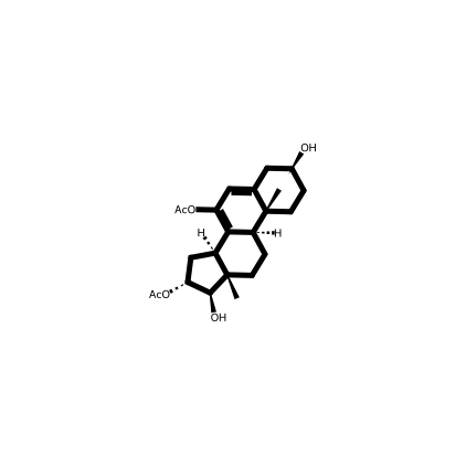 CC(=O)OC1=C2[C@@H]3C[C@@H](OC(C)=O)[C@H](O)[C@@]3(C)CC[C@@H]2[C@@]2(C)CC[C@H](O)CC2=C1